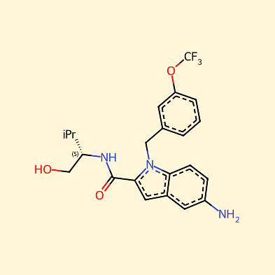 CC(C)[C@@H](CO)NC(=O)c1cc2cc(N)ccc2n1Cc1cccc(OC(F)(F)F)c1